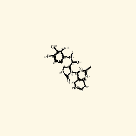 Cc1nc2c(c(N3C(=O)OCC3C(=O)N(C)c3ccc(F)c(Cl)c3F)n1)CNCC2